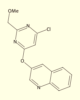 COCc1nc(Cl)cc(Oc2cnc3ccccc3c2)n1